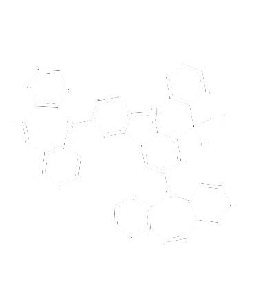 CC1(C)c2ccccc2-n2c3ccc(N4c5ccccc5C=Cc5ccccc54)cc3c3cc(N4c5ccccc5C=CC5C=CC=CC54)cc1c32